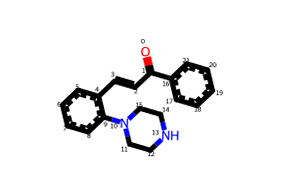 O=C(C=Cc1ccccc1N1CCNCC1)c1ccccc1